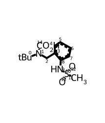 CC(C)(C)N(Cc1ccccc1NS(C)(=O)=O)C(=O)O